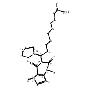 CC(O)CCCCCCCCC(N1CCOCC1)n1c(=O)c2c(ncn2C)n(C)c1=O